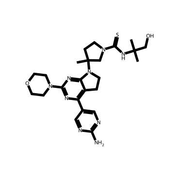 CC(C)(CO)NC(=S)N1CCC(C)(N2CCc3c(-c4cnc(N)nc4)nc(N4CCOCC4)nc32)C1